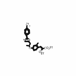 CCOC(=O)C(Cc1ccc(OC(C)Cc2cnc(-c3ccc(C(F)(F)F)cc3)s2)cc1C)OCC